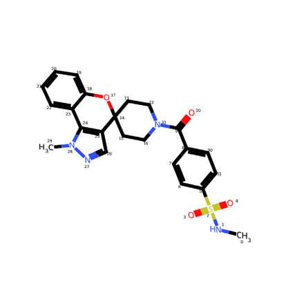 CNS(=O)(=O)c1ccc(C(=O)N2CCC3(CC2)Oc2ccccc2-c2c3cnn2C)cc1